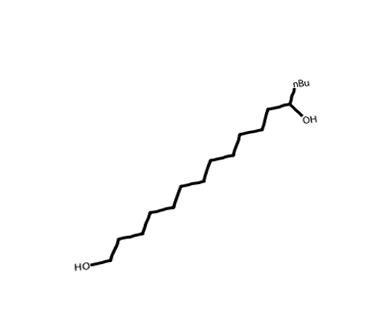 CCCCC(O)CCCCCCCCCCCCO